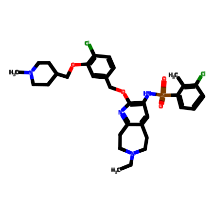 CCN1CCc2cc(NS(=O)(=O)c3cccc(Cl)c3C)c(OCc3ccc(Cl)c(OCC4CCN(C)CC4)c3)nc2CC1